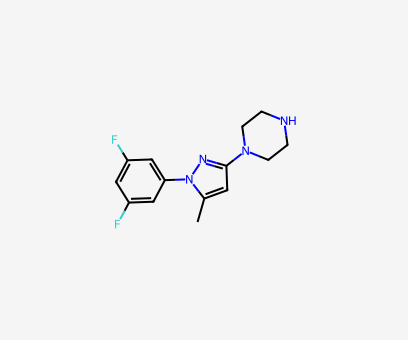 Cc1cc(N2CCNCC2)nn1-c1cc(F)cc(F)c1